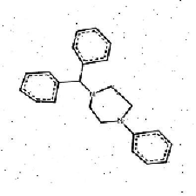 [c]1ccc(N2CCN(C(c3ccccc3)c3ccccc3)CC2)cc1